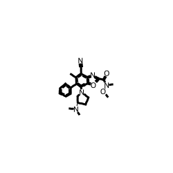 CON(C)C(=O)c1nc2c(C#N)c(C)c(-c3ccccc3)c(N3CC[C@H](N(C)C)C3)c2o1